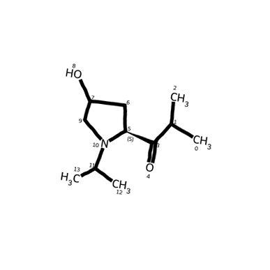 CC(C)C(=O)[C@@H]1CC(O)CN1C(C)C